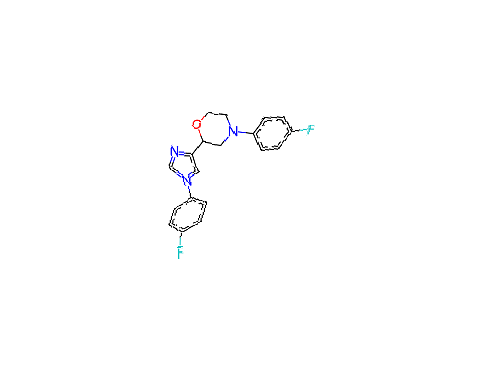 Fc1ccc(N2CCOC(c3cn(-c4ccc(F)cc4)cn3)C2)cc1